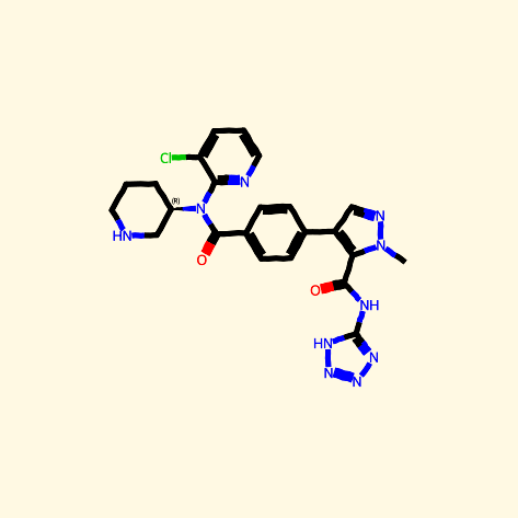 Cn1ncc(-c2ccc(C(=O)N(c3ncccc3Cl)[C@@H]3CCCNC3)cc2)c1C(=O)Nc1nnn[nH]1